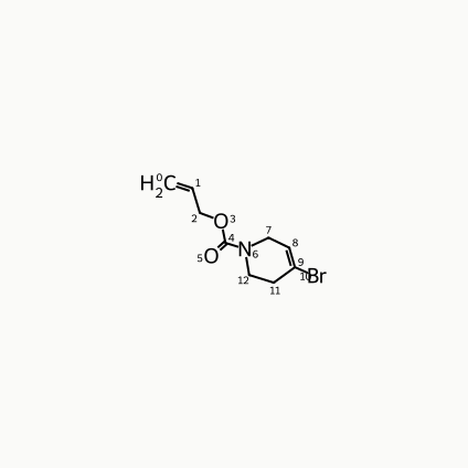 C=CCOC(=O)N1CC=C(Br)CC1